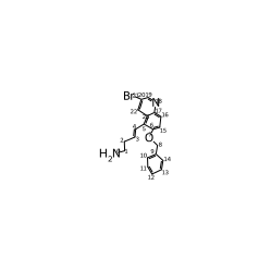 NCC/C=C/c1c(OCc2ccccc2)ccc2ncc(Br)cc12